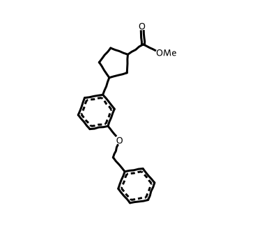 COC(=O)C1CCC(c2cccc(OCc3ccccc3)c2)C1